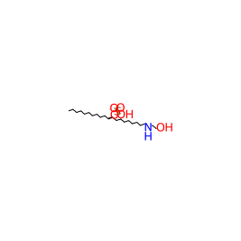 CCCCCCCCCCC=CCCCCCCCCNCCO.COS(=O)(=O)O